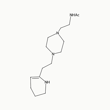 CC(=O)NCCN1CCN(CCC2=CCCCN2)CC1